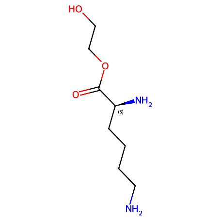 NCCCC[C@H](N)C(=O)OCCO